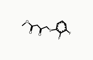 COC(=O)CC(=O)CSc1cccc(F)c1F